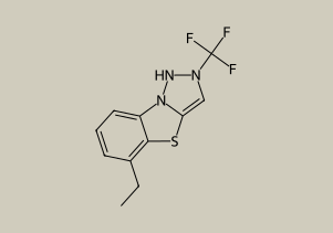 CCc1cccc2c1SC1=CN(C(F)(F)F)NN12